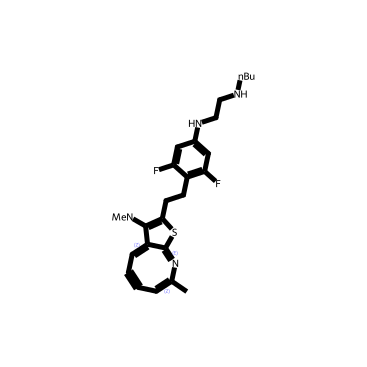 CCCCNCCNc1cc(F)c(CCc2sc3/c(c2NC)=C\C#C/C=C(C)\N=3)c(F)c1